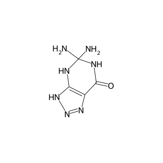 NC1(N)NC(=O)c2nn[nH]c2N1